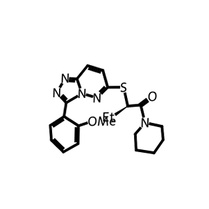 CC[C@@H](Sc1ccc2nnc(-c3ccccc3OC)n2n1)C(=O)N1CCCCC1